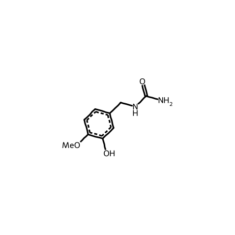 COc1ccc(CNC(N)=O)cc1O